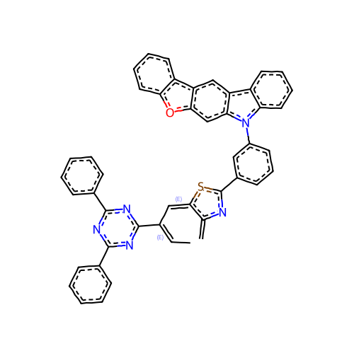 C=c1nc(-c2cccc(-n3c4ccccc4c4cc5c(cc43)oc3ccccc35)c2)s/c1=C/C(=C\C)c1nc(-c2ccccc2)nc(-c2ccccc2)n1